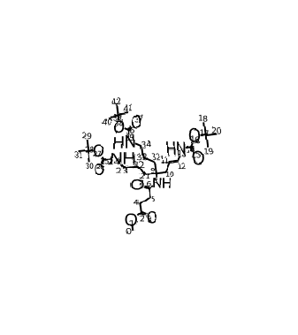 COC(=O)CCC(=O)NC(CCCNC(=O)OC(C)(C)C)(CCCNC(=O)OC(C)(C)C)CCCNC(=O)OC(C)(C)C